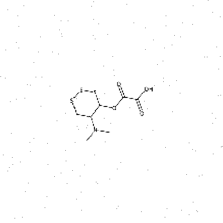 CN(C)C1CSSSC1OC(=O)C(=O)O